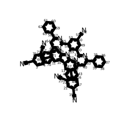 N#Cc1ccc(-c2ccc3c(c2)c2cc(-c4ccc(C#N)cc4C#N)ccc2n3-c2c(-c3nc(-c4ccccc4)cc(-c4ccccc4)n3)cc(C#N)cc2-c2nc(-c3ccccc3)cc(-c3ccccc3)n2)c(C#N)c1